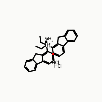 C[CH2][Hf](=[SiH2])([CH2]C)([c]1cccc2c1Cc1ccccc1-2)[c]1cccc2c1Cc1ccccc1-2.Cl.Cl